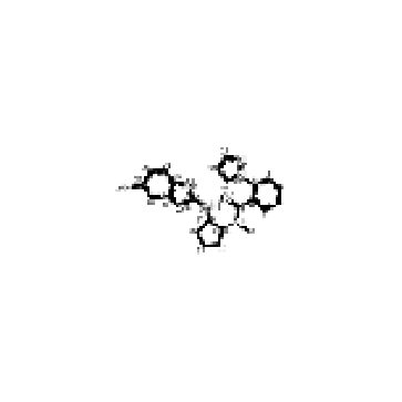 CN(C(=O)c1ccccc1-n1cccn1)[C@H]1CCC[C@H]1Nc1nc2ccc(F)cc2s1